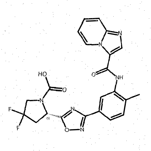 Cc1ccc(-c2noc([C@@H]3CC(F)(F)CN3C(=O)O)n2)cc1NC(=O)c1cnc2ccccn12